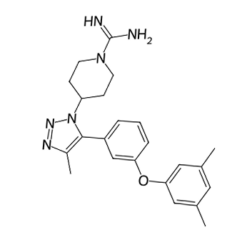 Cc1cc(C)cc(Oc2cccc(-c3c(C)nnn3C3CCN(C(=N)N)CC3)c2)c1